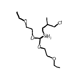 CCOCCOC(OCCOCC)[SiH2]CC(C)CCl